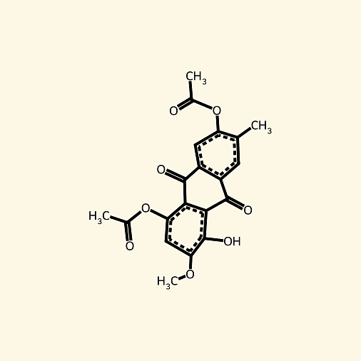 COc1cc(OC(C)=O)c2c(c1O)C(=O)c1cc(C)c(OC(C)=O)cc1C2=O